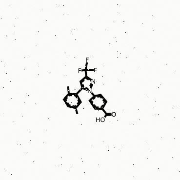 Cc1ccc(C)c(-c2cc(C(F)(F)F)nn2-c2ccc(C(=O)O)cc2)c1